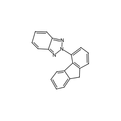 c1ccc2c(c1)Cc1cccc(-n3nc4ccccc4n3)c1-2